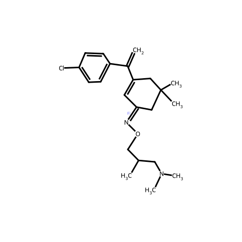 C=C(C1=C/C(=N/OCC(C)CN(C)C)CC(C)(C)C1)c1ccc(Cl)cc1